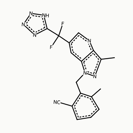 Cc1cccc(C#N)c1Cn1nc(C)c2ncc(C(F)(F)c3nnn[nH]3)cc21